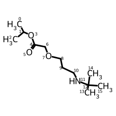 CC(C)OC(=O)COCCCNC(C)(C)C